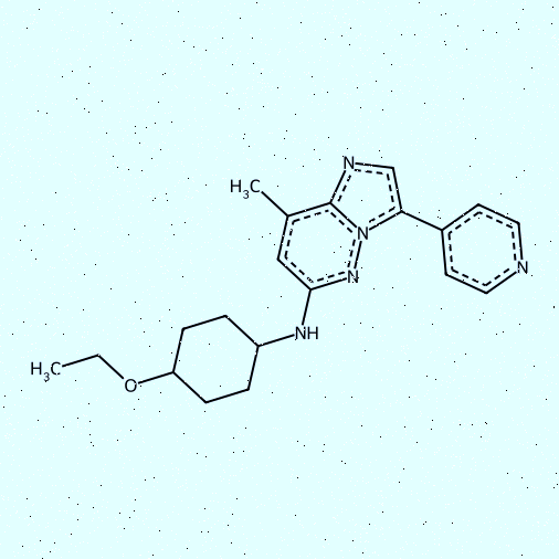 CCOC1CCC(Nc2cc(C)c3ncc(-c4ccncc4)n3n2)CC1